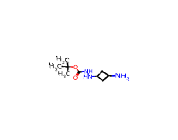 CC(C)(C)OC(=O)NNC1CC(N)C1